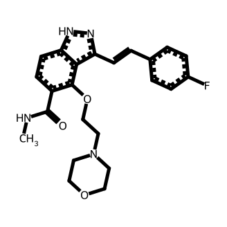 CNC(=O)c1ccc2[nH]nc(C=Cc3ccc(F)cc3)c2c1OCCN1CCOCC1